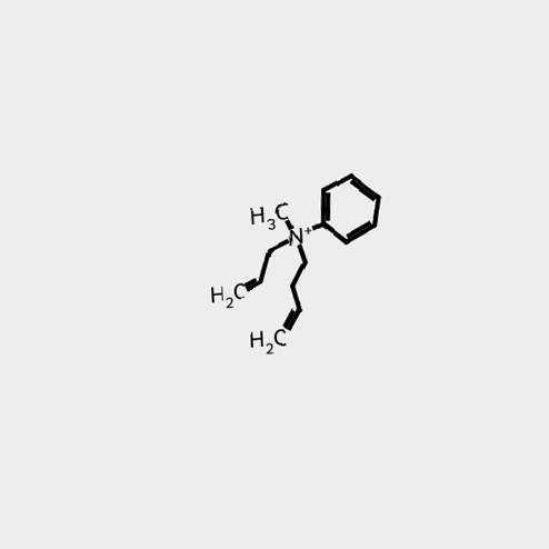 C=CCC[N+](C)(CC=C)c1ccccc1